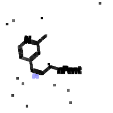 CCCCCC/C=C\c1ccnc(C)c1